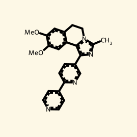 COc1cc2c(cc1OC)-c1c(-c3ccc(-c4ccncc4)nc3)nc(C)n1CC2